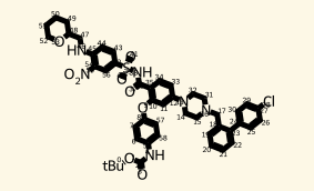 CC(C)(C)OC(=O)Nc1ccc(Oc2cc(N3CCN(Cc4ccccc4-c4ccc(Cl)cc4)CC3)ccc2C(=O)NS(=O)(=O)c2ccc(NCC3CCCCO3)c([N+](=O)[O-])c2)cc1